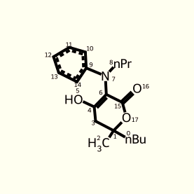 CCCCC1(C)CC(O)=C(N(CCC)c2ccccc2)C(=O)O1